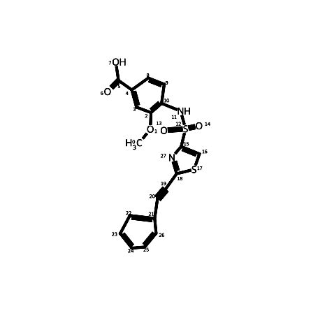 COc1cc(C(=O)O)ccc1NS(=O)(=O)c1csc(C#Cc2ccccc2)n1